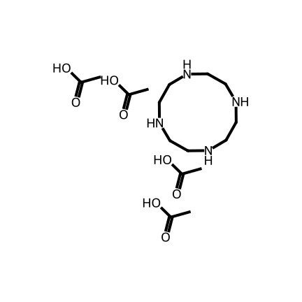 C1CNCCNCCNCCN1.CC(=O)O.CC(=O)O.CC(=O)O.CC(=O)O